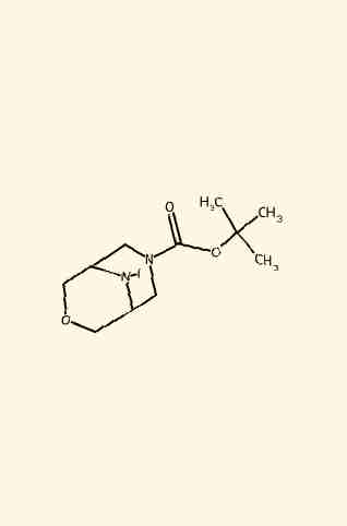 CC(C)(C)OC(=O)N1CC2COCC(C1)N2I